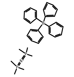 CP(C)(C)=[N+]=P(C)(C)C.c1ccc([B-](c2ccccc2)(c2ccccc2)c2ccccc2)cc1